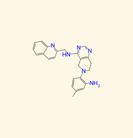 Cc1ccc(N2CCc3ncnc(NCc4ccc5ccccc5n4)c3C2)c(N)c1